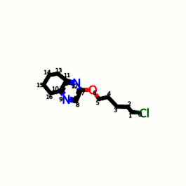 ClCCCCCOc1cnc2c(n1)CCCC2